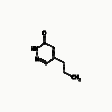 CCCc1[c]n[nH]c(=O)c1